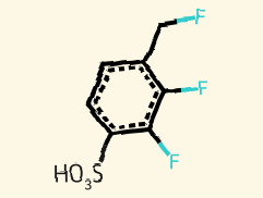 O=S(=O)(O)c1ccc(CF)c(F)c1F